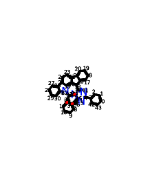 c1ccc(-c2nc(-c3ccccc3)nc(C3c4ccccc4-c4ccc5c6ccccc6n(-c6ccccc6)c5c43)n2)cc1